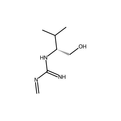 C=NC(=N)N[C@@H](CO)C(C)C